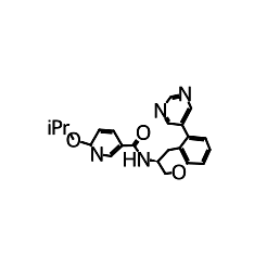 CC(C)Oc1ccc(C(=O)N[C@@H]2COc3cccc(-c4cncnc4)c3C2)cn1